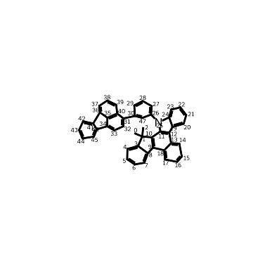 CC1(C)c2ccccc2-c2c1c1c(c3ccccc23)c2ccccc2n1-c1cccc(-c2ccc3c4c(cccc24)-c2ccccc2-3)c1